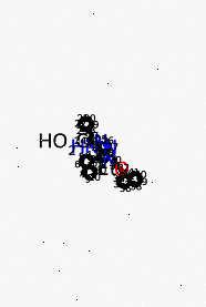 CCc1c(-c2cccc3ccccc23)c2c(N[C@H](Cc3ccccc3)C(=O)O)ncnc2n1CCOc1cccc2ccccc12